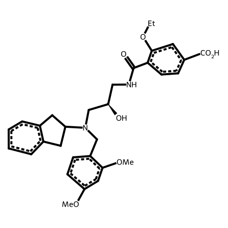 CCOc1cc(C(=O)O)ccc1C(=O)NC[C@@H](O)CN(Cc1ccc(OC)cc1OC)C1Cc2ccccc2C1